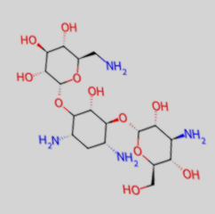 NC[C@H]1O[C@H](OC2[C@@H](N)C[C@@H](N)[C@H](O[C@H]3O[C@H](CO)[C@@H](O)[C@H](N)[C@H]3O)[C@H]2O)[C@H](O)[C@@H](O)[C@@H]1O